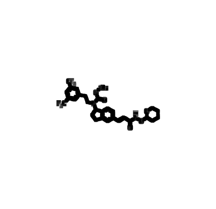 CC(C)(C)OC(=O)N(CCc1cc(C(F)(F)F)cc(C(F)(F)F)c1)C1CCc2cc(/C=C/C(=O)NOC3CCCCO3)ccc21